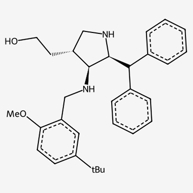 COc1ccc(C(C)(C)C)cc1CN[C@H]1[C@H](CCO)CN[C@H]1C(c1ccccc1)c1ccccc1